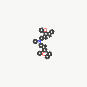 CC1(C)c2cc(N(c3ccccc3)c3ccc4c(c3)C(C)(C)c3c5c(c6oc7ccccc7c6c3-4)-c3ccccc3C5(C)C)ccc2-c2c1cc(-c1cccc3ccccc13)c1oc3ccccc3c21